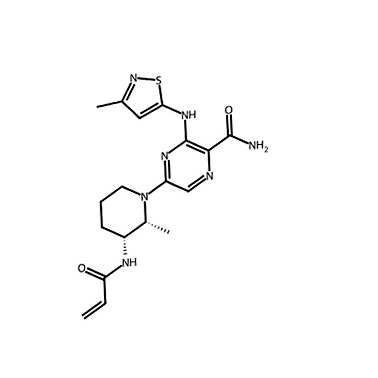 C=CC(=O)N[C@@H]1CCCN(c2cnc(C(N)=O)c(Nc3cc(C)ns3)n2)[C@@H]1C